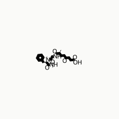 CNC(=O)[C@H](Cc1ccccc1)N(C)C(=O)CNC(=O)[C@H](C)CCC(=O)CCC(=O)O